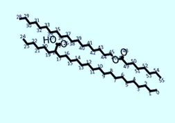 CCCCCCCCCCCCCCCCCCC(CCCCCC)C(=O)O.CCCCCCCCCCCCCCCCCCOC(=O)CCCCCCC